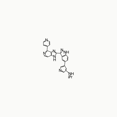 CC(C)Nc1cncc(-c2ccc3[nH]nc(-c4nc5c(-c6ccncc6)nccc5[nH]4)c3c2)c1